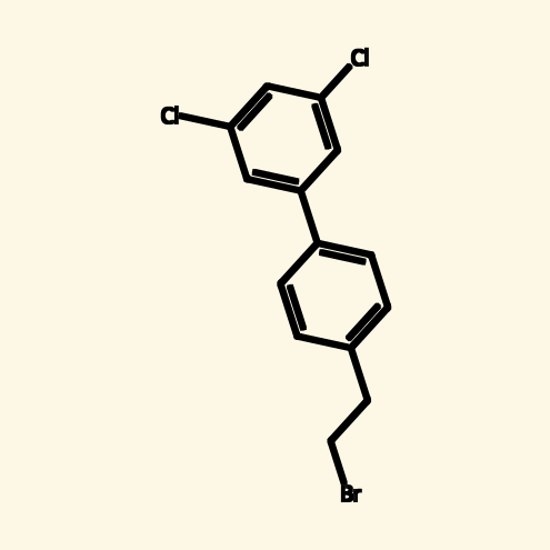 Clc1cc(Cl)cc(-c2ccc(CCBr)cc2)c1